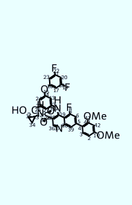 COc1ccc(-c2cc(F)c3c(Nc4cc(Oc5cc(F)cc(F)c5)cc(C(=O)O)c4)c(S(=O)(=O)NC4CC4)cnc3c2)c(OC)c1